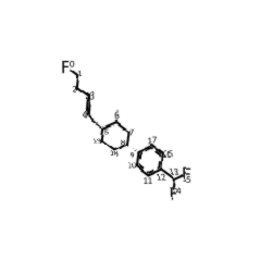 FCCC=C[C@H]1CC[C@H](c2ccc(C(F)F)cc2)CC1